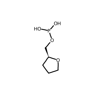 OP(O)OC[C@@H]1CCCO1